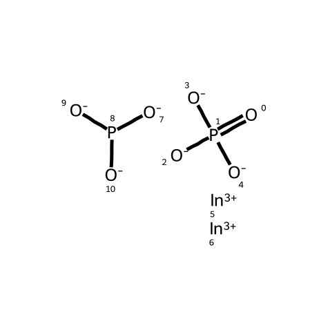 O=P([O-])([O-])[O-].[In+3].[In+3].[O-]P([O-])[O-]